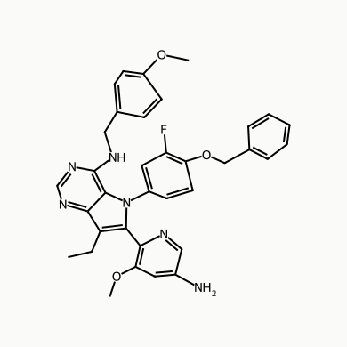 CCc1c(-c2ncc(N)cc2OC)n(-c2ccc(OCc3ccccc3)c(F)c2)c2c(NCc3ccc(OC)cc3)ncnc12